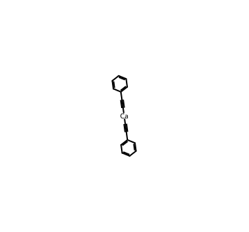 [C](#Cc1ccccc1)[Ca][C]#Cc1ccccc1